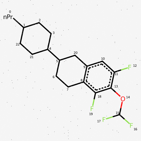 CCCC1CCC(C2CCc3c(cc(F)c(OC(F)F)c3F)C2)CC1